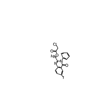 O=C(CCl)ONc1nc2ccc(I)cc2c(=O)n1-c1ccccc1